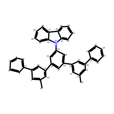 Cc1cc(-c2ccccc2)cc(-c2cc(-c3cc(C)cc(-c4ccccc4)c3)cc(-n3c4ccccc4c4ccccc43)c2)c1